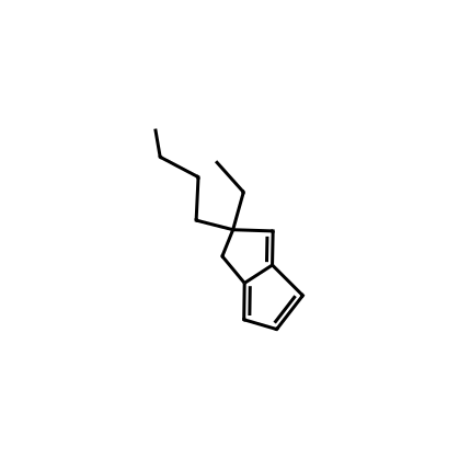 CCCCC1(CC)C=C2C=CC=C2C1